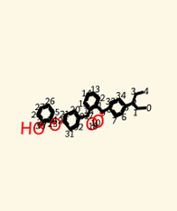 CCC(CC)c1ccc(C(=O)c2ccccc2C(=O)c2ccc(Oc3ccccc3O)cc2)cc1